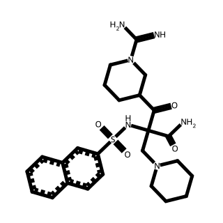 N=C(N)N1CCCC(C(=O)C(CN2CCCCC2)(NS(=O)(=O)c2ccc3ccccc3c2)C(N)=O)C1